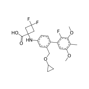 COc1cc(-c2ccc(NC3(C(=O)O)CC(F)(F)C3)cc2COC2CC2)c(F)c(OC)c1C